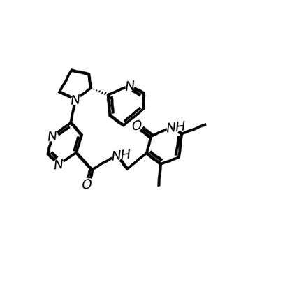 Cc1cc(C)c(CNC(=O)c2cc(N3CCC[C@@H]3c3ccccn3)ncn2)c(=O)[nH]1